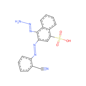 N#Cc1ccccc1/N=N/c1cc(S(=O)(=O)O)c2ccccc2c1N=NN